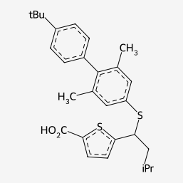 Cc1cc(SC(CC(C)C)c2ccc(C(=O)O)s2)cc(C)c1-c1ccc(C(C)(C)C)cc1